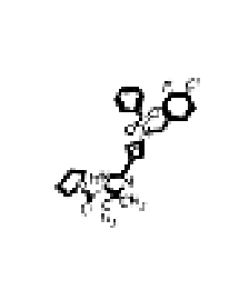 CC1(C)N=C(C23CC(N(Cc4ccc(Cl)c(F)c4)S(=O)(=O)c4ccccc4)(C2)C3)N[C@H]1C(=O)N1CCCC1